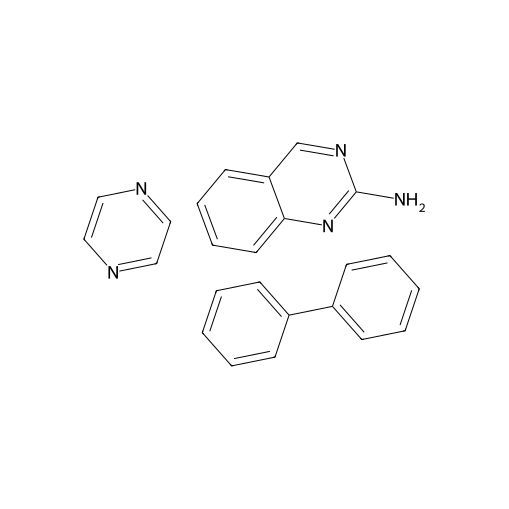 Nc1ncc2ccccc2n1.c1ccc(-c2ccccc2)cc1.c1cnccn1